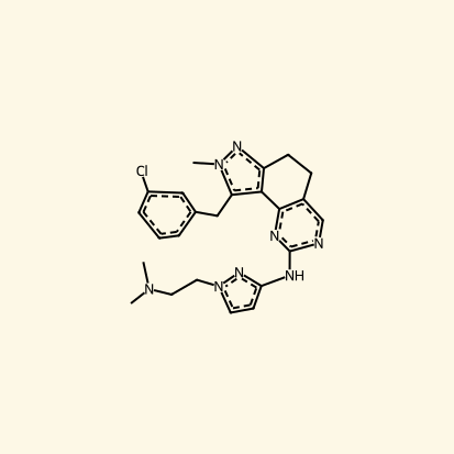 CN(C)CCn1ccc(Nc2ncc3c(n2)-c2c(nn(C)c2Cc2cccc(Cl)c2)CC3)n1